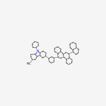 N#Cc1ccc2c(c1)c1cc(-c3cccc(-c4cc5c6ccccc6c(-c6cccc7ccccc67)cc5c5ccccc45)c3)ccc1n2-c1ccccc1